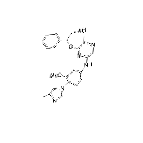 COc1cc(Nc2cnc3c(n2)O[C@H](c2ccccc2)CNC3)ccc1-n1cnc(C)c1